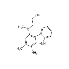 Cc1cc(N(C)CCO)c2c([nH]c3ccccc32)c1N